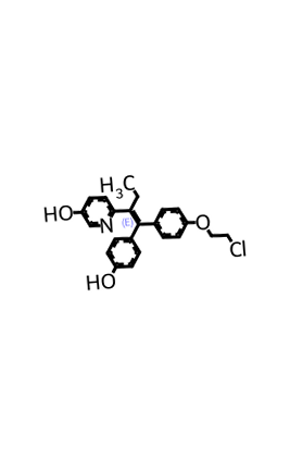 CC/C(=C(/c1ccc(O)cc1)c1ccc(OCCCl)cc1)c1ccc(O)cn1